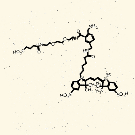 CCN1/C(=C/C=C/C2=[N+](CCCCCC(=O)NCc3ccc(CN)c(C(=O)NCCOCCOCCNC(=O)CCCC(=O)O)c3)c3ccc(S(=O)(=O)O)cc3C2(C)C)C(C)(C)c2cc(S(=O)(=O)O)ccc21